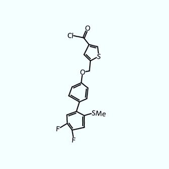 CSc1cc(F)c(F)cc1-c1ccc(OCc2cc(C(=O)Cl)cs2)cc1